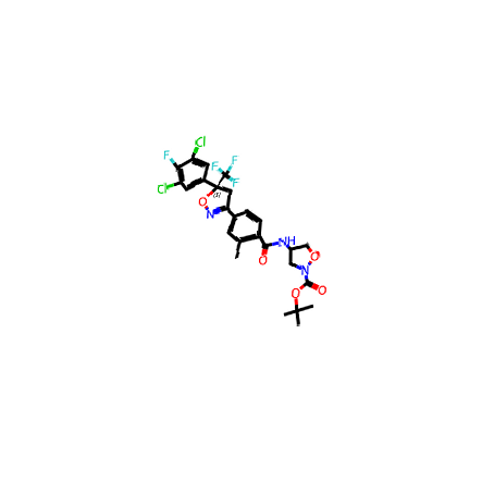 Cc1cc(C2=NO[C@@](c3cc(Cl)c(F)c(Cl)c3)(C(F)(F)F)C2)ccc1C(=O)NC1CON(C(=O)OC(C)(C)C)C1